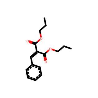 CCCOC(=O)C(=Cc1ccccc1)C(=O)OCCC